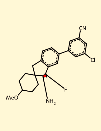 COC1CCC2(CC1)Cc1ccc(-c3cc(Cl)cc(C#N)c3)cc1C21C=C(F)C(N)=N1